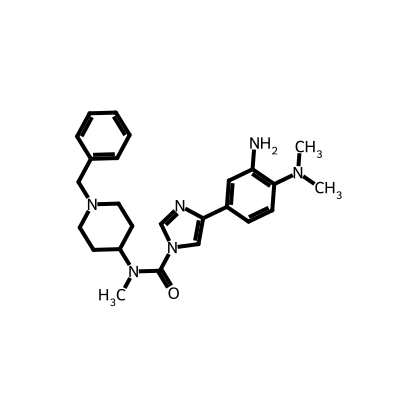 CN(C)c1ccc(-c2cn(C(=O)N(C)C3CCN(Cc4ccccc4)CC3)cn2)cc1N